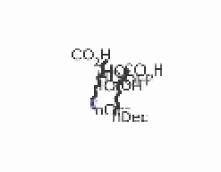 CCCCCCCC/C=C\CCCCCCCC(=O)O.CCCCCCCCCCCCCCC(O)C(O)(O)C(O)(O)C(=O)O